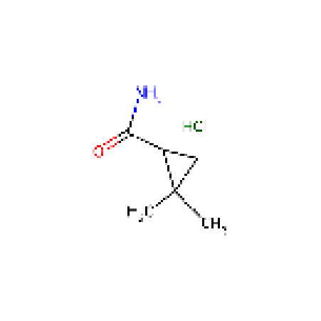 CC1(C)CC1C(N)=O.Cl